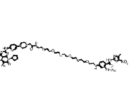 CC(=O)Nc1cc(NCCOCCOCCOCCOCCOCCOCCNC(=O)CN2CCN(c3ccc(Nc4ncc5c(C)c(C(C)=O)c(=O)n(C6CCCC6)c5n4)nc3)CC2)ccc1C(=O)Nc1nc(C)c([N+](=O)[O-])s1